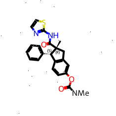 CNC(=O)Oc1ccc2c(c1)C[C@@](C)(C(=O)Nc1nccs1)[C@H]2c1ccccc1